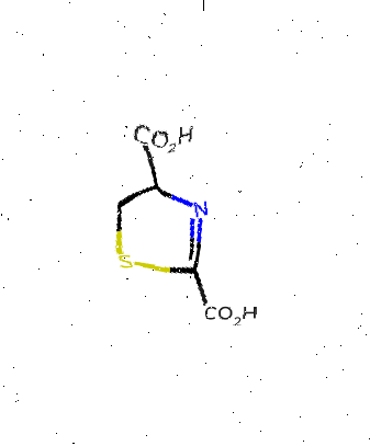 O=C(O)C1=NC(C(=O)O)CS1